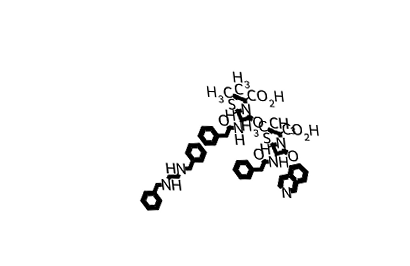 CC1(C)S[C@@H]2[C@H](NC(=O)Cc3ccccc3)C(=O)N2[C@H]1C(=O)O.CC1(C)S[C@@H]2[C@H](NC(=O)Cc3ccccc3)C(=O)N2[C@H]1C(=O)O.c1ccc(CNCCNCc2ccccc2)cc1.c1ccc2cnccc2c1